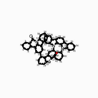 O=c1c2ccccc2c2cc(-c3cccc4sc5ccc(-n6c7ccccc7c7ccc8c9ccccc9n(-c9ccccc9)c8c76)cc5c34)cc3c4ccccc4n1c23